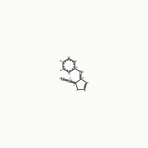 [N-]=[N+]=C1CC=CC1=Nc1ccccc1